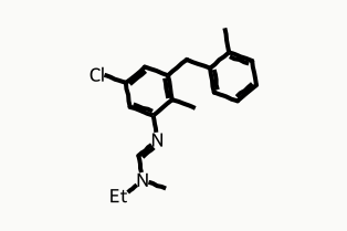 CCN(C)C=Nc1cc(Cl)cc(Cc2ccccc2C)c1C